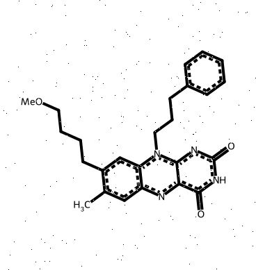 COCCCCc1cc2c(cc1C)nc1c(=O)[nH]c(=O)nc-1n2CCCc1ccccc1